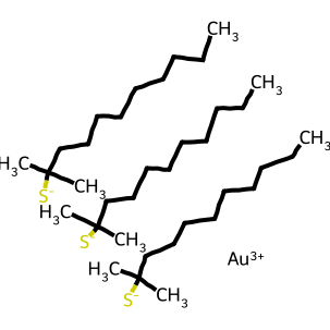 CCCCCCCCCC(C)(C)[S-].CCCCCCCCCC(C)(C)[S-].CCCCCCCCCC(C)(C)[S-].[Au+3]